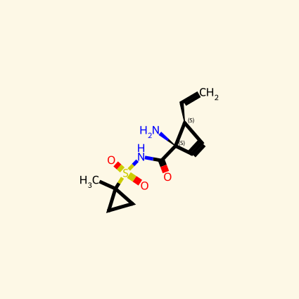 C=C[C@H]1C#C[C@]1(N)C(=O)NS(=O)(=O)C1(C)CC1